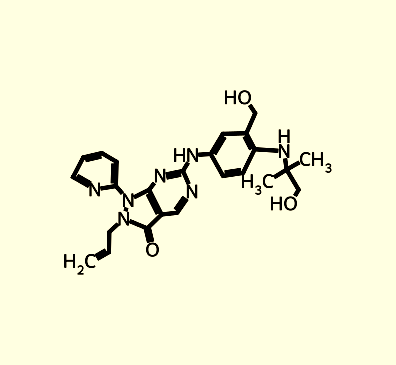 C=CCn1c(=O)c2cnc(Nc3ccc(NC(C)(C)CO)c(CO)c3)nc2n1-c1ccccn1